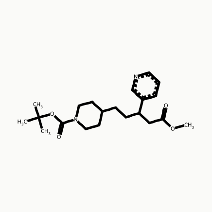 COC(=O)CC(CCC1CCN(C(=O)OC(C)(C)C)CC1)c1cccnc1